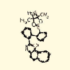 CC1(C)OB(c2ccccc2-c2ccccc2-c2nc3ccc4ccccc4c3o2)OC1(C)C